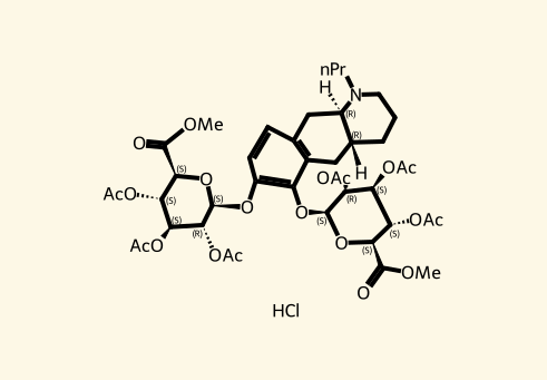 CCCN1CCC[C@@H]2Cc3c(ccc(O[C@@H]4O[C@H](C(=O)OC)[C@@H](OC(C)=O)[C@H](OC(C)=O)[C@H]4OC(C)=O)c3O[C@@H]3O[C@H](C(=O)OC)[C@@H](OC(C)=O)[C@H](OC(C)=O)[C@H]3OC(C)=O)C[C@H]21.Cl